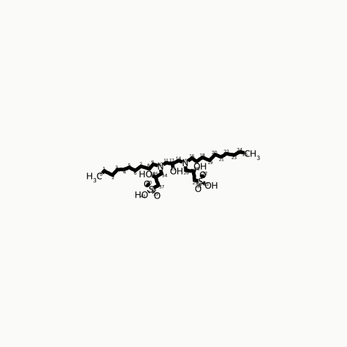 CCCCCCCCCCN(CC(O)CN(CCCCCCCCCC)CC(O)CS(=O)(=O)O)CC(O)CS(=O)(=O)O